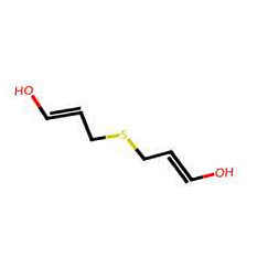 OC=CCSCC=CO